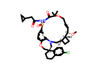 CO[C@H]1/C=C/COC(C)(C)C(=O)N=S(=O)(NC(=O)CC2CC2)c2ccc3c(c2)N(C[C@@H]2CC[C@H]21)C[C@@]1(CCCc2cc(Cl)ccc21)CO3